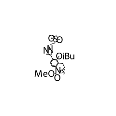 COC(=O)N1c2ccc(-c3cnn(CCS(C)(=O)=O)c3)c(OCC(C)C)c2CC[C@@H]1C